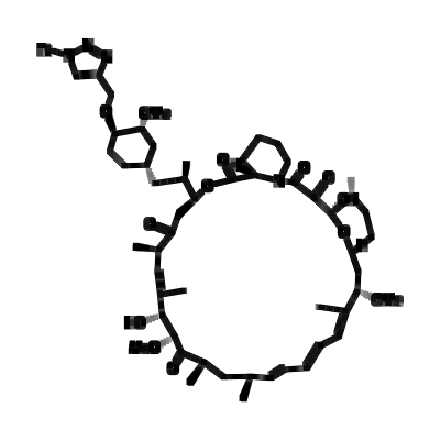 CCn1cc(CO[C@@H]2CC[C@@H](C[C@@H](C)[C@@H]3CC(=O)[C@H](C)/C=C(\C)[C@@H](O)[C@@H](OC)C(=O)[C@H](C)C[C@H](C)/C=C/C=C/C=C(\C)[C@@H](OC)C[C@@H]4CC[C@@H](C)[C@@](O)(O4)C(=O)C(=O)N4CCCC[C@H]4C(=O)O3)C[C@H]2OC)nn1